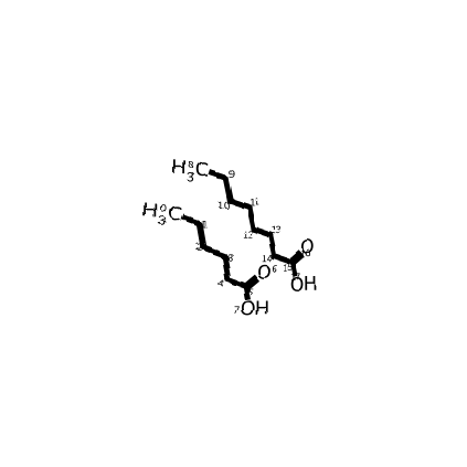 CCCCCC(=O)O.CCCCCCCC(=O)O